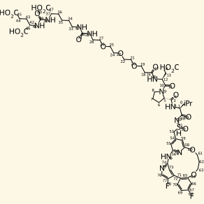 CC(C)[C@H](NC(=O)[C@@H]1CCCN1C(=O)[C@H](CC(=O)O)NC(=O)CCOCCOCCOCCNC(=O)NCCCC[C@H](NC(=O)N[C@@H](CCC(=O)O)C(=O)O)C(=O)O)C(=O)N=[SH](=O)Cc1cc2nc(c1)OCCCOc1cc(F)ccc1-c1cc(ncc1F)N2